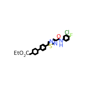 CCOC(=O)CC1CCC(c2ccc(-c3cn4cc(C(=O)Nc5ccc(F)c(Cl)c5)nc4s3)cc2)CC1